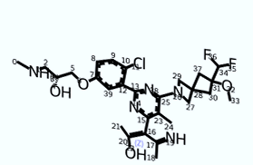 CNC[C@@H](O)COc1ccc(Cl)c(-c2nc(/C(C(C)=N)=C(\C)O)c(C)c(N3CC4(C3)CC(OC)(C(F)F)C4)n2)c1